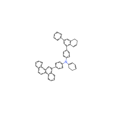 C1=CCCC(N(c2ccc(-c3cc(-c4ccccc4)cc4c3C=CCC4)cc2)c2ccc(-c3cc4c5ccccc5ccc4c4ccccc34)cc2)=C1